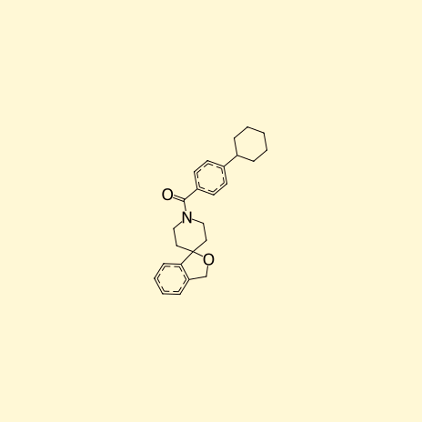 O=C(c1ccc(C2CCCCC2)cc1)N1CCC2(CC1)OCc1ccccc12